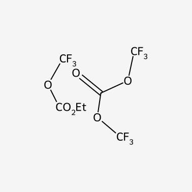 CCOC(=O)OC(F)(F)F.O=C(OC(F)(F)F)OC(F)(F)F